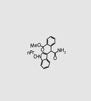 CCCOn1cc(C(C(N)=O)c2ccccc2C(=O)OC)c2ccccc21